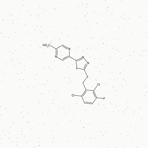 O=C(O)c1cnc(-c2nnc(SCc3c(Cl)ccc(F)c3Cl)s2)cn1